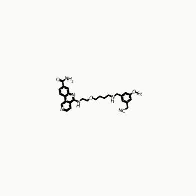 CCOc1cc(CC#N)cc(CNCCCCOCCNc2nc3cc(C(N)=O)ccc3c3cnccc23)c1